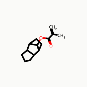 C=C(C)C(=O)OC1C2CCC1C1CCCC12